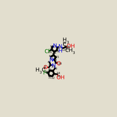 COCC1Cn2cc(-c3cc(NCC(C)(C)O)ncc3Cl)cc2C(=O)N1Cc1cc(F)ccc1CO